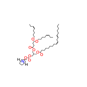 CC/C=C\CCCCOC(CCC(=O)OCC(COC(=O)CCCCCCC/C=C\CC=CCCCCC)COC(=O)OC1C[C@H]2CC[C@@H](C1)N2CC)OCCCC/C=C\CC